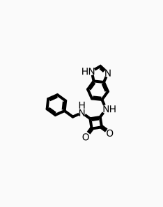 O=c1c(NCc2ccccc2)c(Nc2ccc3[nH]cnc3c2)c1=O